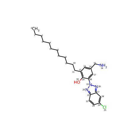 CCCCCCCCCCCCc1cc(CN)cc(-n2nc3ccc(Cl)cc3n2)c1O